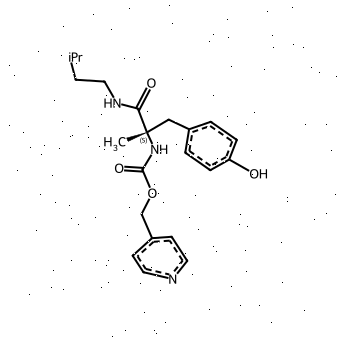 CC(C)CCNC(=O)[C@](C)(Cc1ccc(O)cc1)NC(=O)OCc1ccncc1